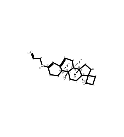 C[C@]12CC[C@H]3[C@@H](CC=C4C=C(OCC=O)CC[C@@H]43)[C@@H]1CCC21CCC1